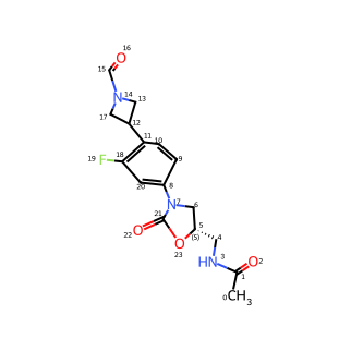 CC(=O)NC[C@H]1CN(c2ccc(C3CN(C=O)C3)c(F)c2)C(=O)O1